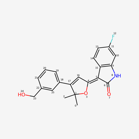 CC1(C)OC(=C2C(=O)Nc3cc(F)ccc32)C=C1c1cccc(CO)c1